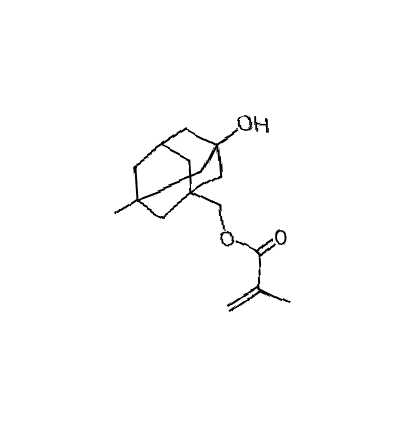 C=C(C)C(=O)OCC12CC3CC(C)(CC(O)(C3)C1)C2